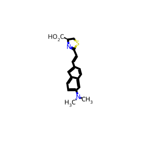 CN(C)c1ccc2cc(/C=C/C3=N[C@@H](C(=O)O)CS3)ccc2c1